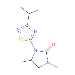 CC(C)c1nsc(N2C(=O)N(C)CC2C)n1